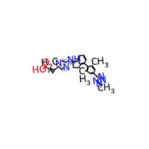 C=N/C=C(\N=C/CC1C[C@H]1C(=O)O)N[C@@H]1CCc2c(-c3c(C)cc(-c4nnn(C)n4)cc3C)cccc21